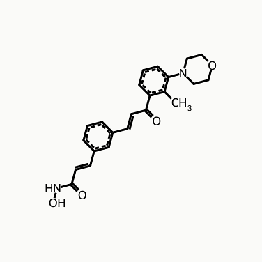 Cc1c(C(=O)C=Cc2cccc(C=CC(=O)NO)c2)cccc1N1CCOCC1